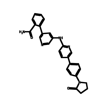 NC(=O)c1ccccc1-c1cncc(Nc2ccc(-c3ccc(N4CCCC4=O)cc3)cn2)c1